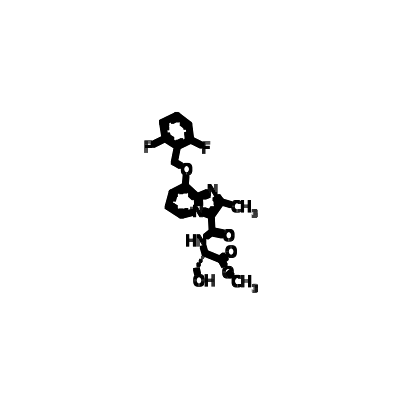 COC(=O)[C@H](CO)NC(=O)c1c(C)nc2c(OCc3c(F)cccc3F)cccn12